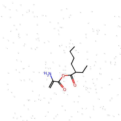 C=C(N)C(=O)OC(=O)C(CC)CCCC